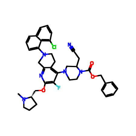 CN1CCC[C@H]1COc1nc2c(c(N3CCN(C(=O)OCc4ccccc4)C(CC#N)C3)c1F)CCN(c1cccc3cccc(Cl)c13)C2